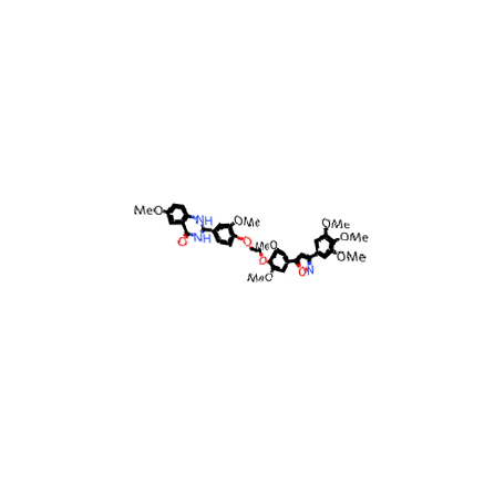 COc1ccc2c(c1)C(=O)NC(c1ccc(OCCOc3c(OC)cc(-c4cc(-c5cc(OC)c(OC)c(OC)c5)no4)cc3OC)c(OC)c1)N2